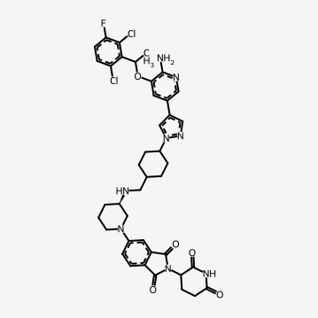 CC(Oc1cc(-c2cnn(C3CCC(CN[C@@H]4CCCN(c5ccc6c(c5)C(=O)N(C5CCC(=O)NC5=O)C6=O)C4)CC3)c2)cnc1N)c1c(Cl)ccc(F)c1Cl